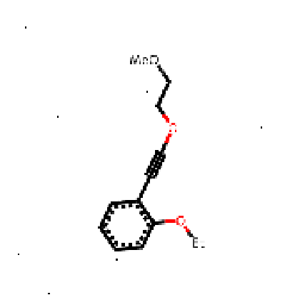 CCOc1ccccc1C#COCCOC